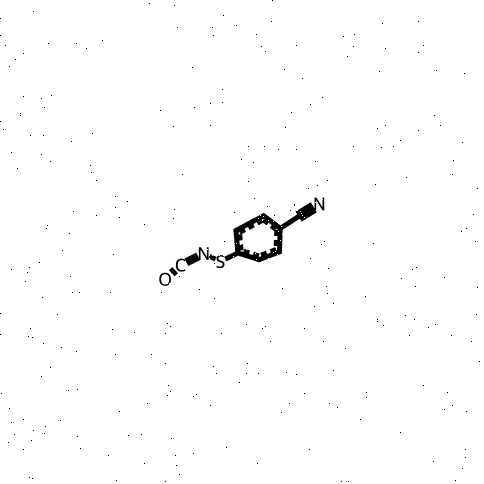 N#Cc1ccc(SN=C=O)cc1